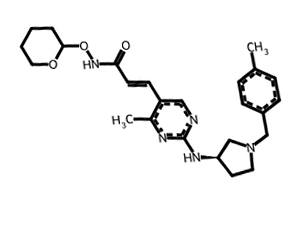 Cc1ccc(CN2CC[C@@H](Nc3ncc(/C=C/C(=O)NOC4CCCCO4)c(C)n3)C2)cc1